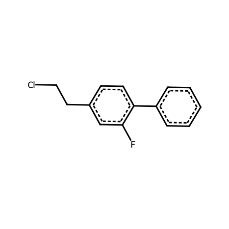 Fc1cc(CCCl)ccc1-c1ccccc1